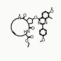 CCOC(=O)C1CCC=CCCCCN(C)C(=O)C2CC(Oc3nc(-c4ccc(OC)cc4)nc4c(C)c(OC)ccc34)CC2C(=O)N1